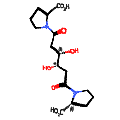 O=C(O)C1CCCN1C(=O)C[C@H](O)[C@@H](O)CC(=O)N1CCC[C@@H]1C(=O)O